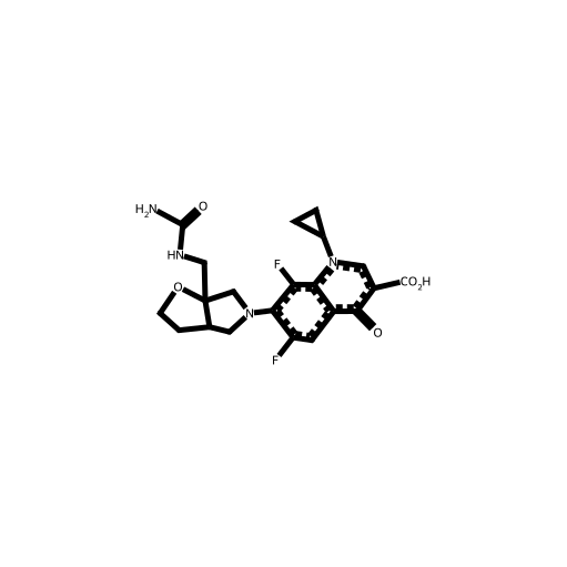 NC(=O)NCC12CN(c3c(F)cc4c(=O)c(C(=O)O)cn(C5CC5)c4c3F)CC1CCO2